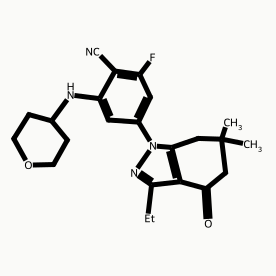 CCc1nn(-c2cc(F)c(C#N)c(NC3CCOCC3)c2)c2c1C(=O)CC(C)(C)C2